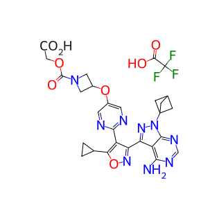 Nc1ncnc2c1c(-c1noc(C3CC3)c1-c1ncc(OC3CN(C(=O)OCC(=O)O)C3)cn1)nn2C12CC(C1)C2.O=C(O)C(F)(F)F